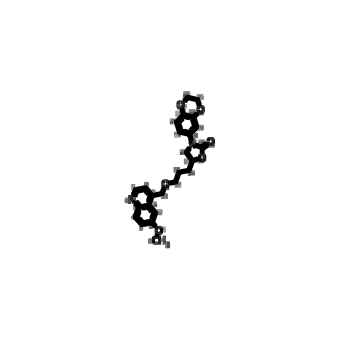 COc1ccc2nccc(COCCCC3CN(c4ccc5c(c4)OCCO5)C(=O)O3)c2c1